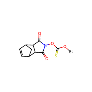 CCOC(=S)ON1C(=O)C2C3C=CC(C3)C2C1=O